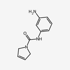 Nc1cccc(NC(=O)N2CC=CC2)c1